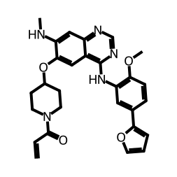 C=CC(=O)N1CCC(Oc2cc3c(Nc4cc(-c5ccco5)ccc4OC)ncnc3cc2NC)CC1